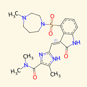 Cc1[nH]c(/C=C2\C(=O)Nc3cccc(S(=O)(=O)N4CCCN(C)CC4)c32)nc1C(=O)N(C)C